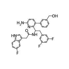 Nc1ccc(-c2cccc(CO)c2)c(C(Cc2cc(F)cc(F)c2)NC(=O)Cc2c[nH]c3ccc(F)cc23)n1